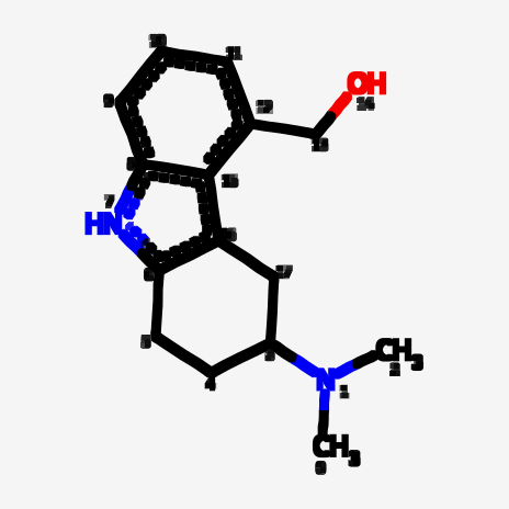 CN(C)C1CCc2[nH]c3cccc(CO)c3c2C1